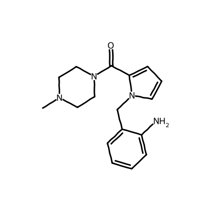 CN1CCN(C(=O)c2cccn2Cc2ccccc2N)CC1